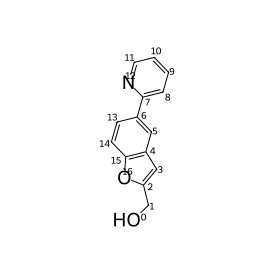 OCc1cc2cc(-c3ccccn3)ccc2o1